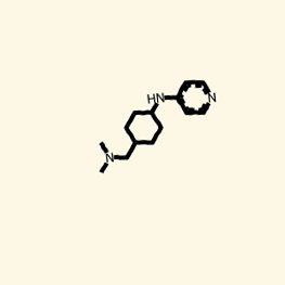 CN(C)CC1CCC(Nc2ccncc2)CC1